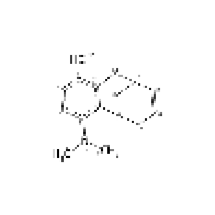 CN(C)c1cccc2c1C1CC=CC(C2)C1.Cl